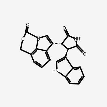 O=C1NC(=O)[C@@H](c2cn3c4c(cccc24)CCC3=O)[C@@H]1c1c[nH]c2ccccc12